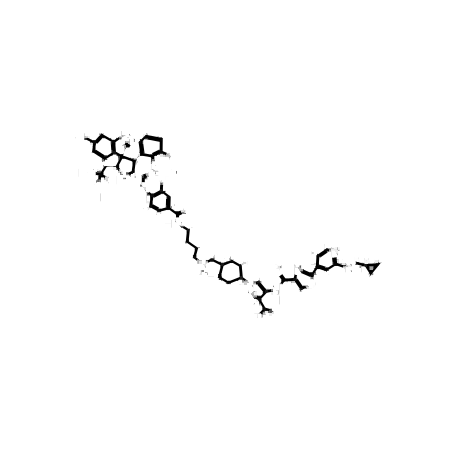 COc1cc(C(=O)NCCCCN(C)CC2CCC(n3cc(NC(=O)c4coc(-c5ccnc(NCC6CC6)c5)n4)c(C(F)F)n3)CC2)ccc1NC(=O)[C@@H]1N[C@@H](CC(C)(C)C)[C@](C#N)(c2ccc(Cl)cc2F)[C@H]1c1cccc(Cl)c1F